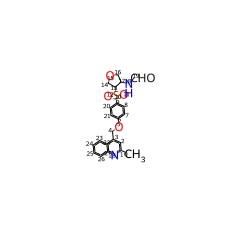 Cc1cc(COc2ccc(S(=O)(=O)C3COCC3NC=O)cc2)c2ccccc2n1